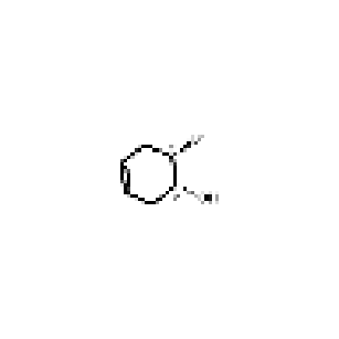 O[C@@H]1CC=CC[C@H]1Br